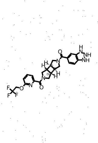 O=C(c1ccc2c(c1)NNN2)N1C[C@@H]2[C@H](C1)[C@H]1CN(C(=O)c3cccc(OCC(F)(F)F)n3)C[C@@H]21